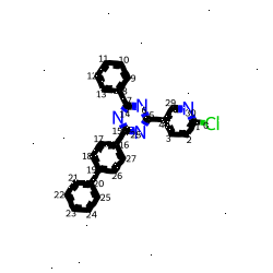 Clc1ccc(-c2nc(-c3ccccc3)nc(-c3ccc(-c4ccccc4)cc3)n2)cn1